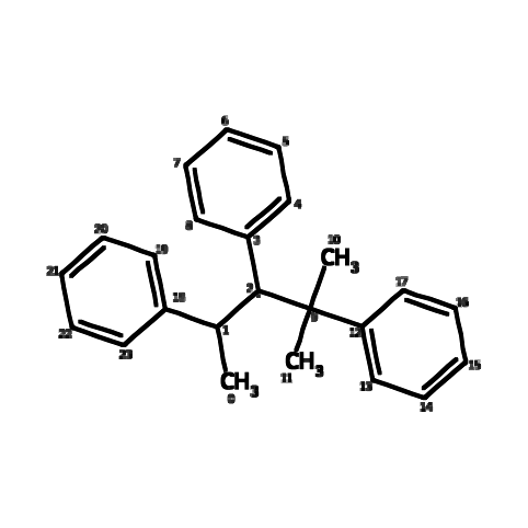 CC([C](c1ccccc1)C(C)(C)c1ccccc1)c1ccccc1